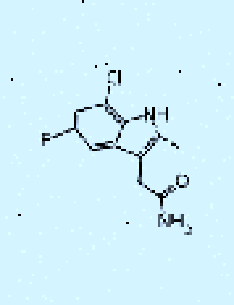 Cc1[nH]c2c(Cl)cc(F)cc2c1CC(N)=O